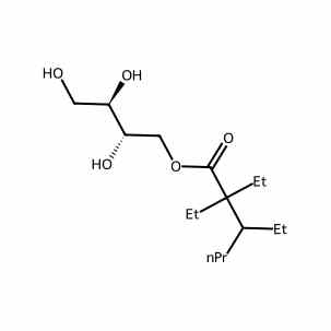 CCCC(CC)C(CC)(CC)C(=O)OC[C@H](O)[C@H](O)CO